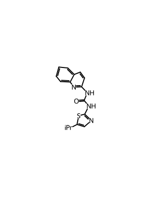 CC(C)c1cnc(NC(=O)Nc2ccc3ccccc3n2)s1